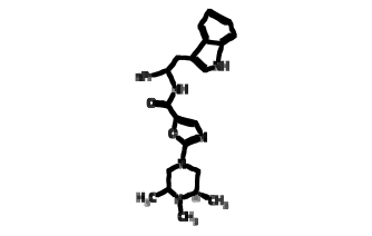 CCCC(Cc1c[nH]c2ccccc12)NC(=O)c1cnc(N2CC(C)N(C)[C@H](C)C2)o1